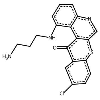 NCCCNc1cccc2ncc3sc4ccc(Cl)cc4c(=O)c3c12